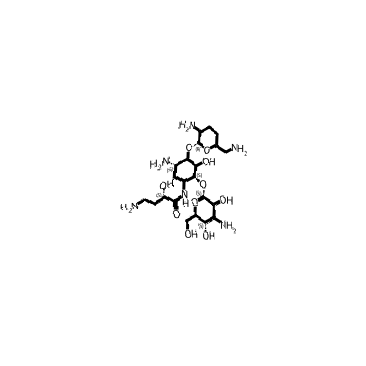 NCC[C@H](O)C(=O)NC1C[C@H](N)C(O[C@H]2OC(CN)CCC2N)C(O)[C@H]1O[C@H]1OC(CO)[C@@H](O)C(N)C1O